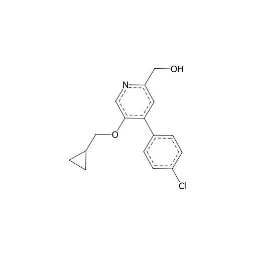 OCc1cc(-c2ccc(Cl)cc2)c(OCC2CC2)cn1